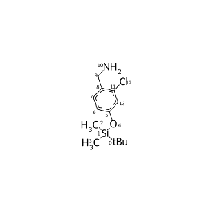 CC(C)(C)[Si](C)(C)Oc1ccc(CN)c(Cl)c1